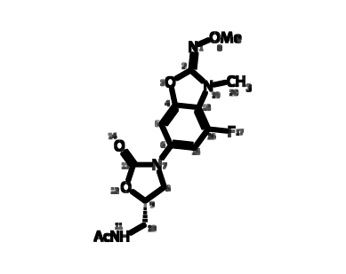 CON=c1oc2cc(N3C[C@H](CNC(C)=O)OC3=O)cc(F)c2n1C